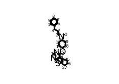 CN(CCCc1ccccc1)[C@H]1CC[C@H](Oc2ncnc3sc4c(c23)CCC4)CC1